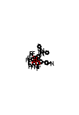 N#Cc1ccc(-c2ccc(-n3c4ccc(C(F)(F)F)cc4c4cc(C(F)(F)F)ccc43)c(-c3cc(-c4nc(-c5ccccc5)nc(-c5ccccc5)n4)ccc3-n3c4ccc(C(F)(F)F)cc4c4cc(C(F)(F)F)ccc43)c2)cc1